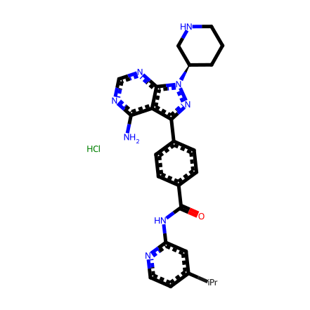 CC(C)c1ccnc(NC(=O)c2ccc(-c3nn([C@@H]4CCCNC4)c4ncnc(N)c34)cc2)c1.Cl